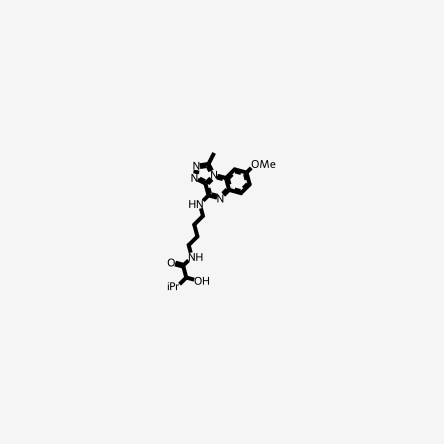 COc1ccc2nc(NCCCCNC(=O)C(O)C(C)C)c3nnc(C)n3c2c1